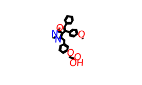 COc1ccc(-c2c(-c3ccccc3)oc3ncnc(Cc4cccc(OCC(=O)O)c4)c23)cc1